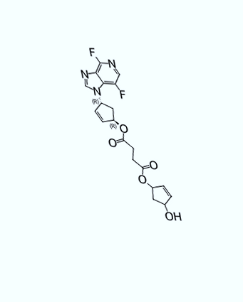 O=C(CCC(=O)O[C@H]1C=C[C@H](n2cnc3c(F)ncc(F)c32)C1)OC1C=CC(O)C1